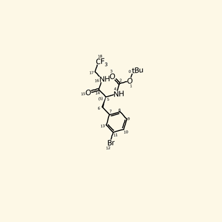 CC(C)(C)OC(=O)N[C@@H](Cc1cccc(Br)c1)C(=O)NCC(F)(F)F